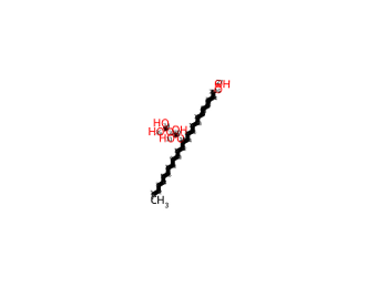 CCCCCCCCCCCCCCCCCCCCCCCCCCOO.O=C(O)O.O=C(O)O